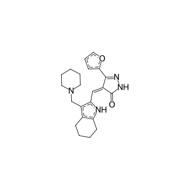 O=C1NN=C(c2ccco2)C1=Cc1[nH]c2c(c1CN1CCCCC1)CCCC2